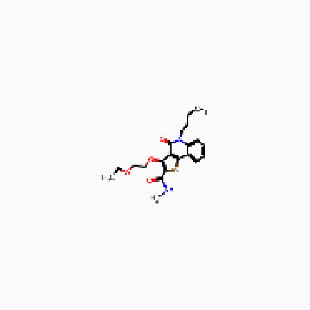 CCCCn1c(=O)c2c(OCCOCC)c(C(=O)NC)sc2c2ccccc21